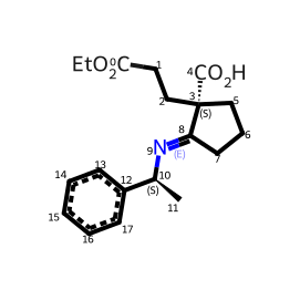 CCOC(=O)CC[C@@]1(C(=O)O)CCC/C1=N\[C@@H](C)c1ccccc1